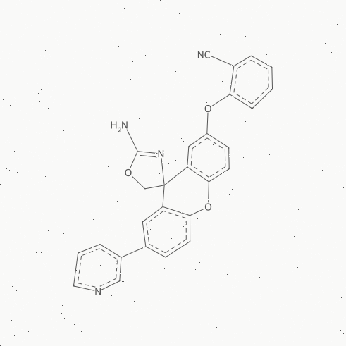 N#Cc1ccccc1Oc1ccc2c(c1)C1(COC(N)=N1)c1cc(-c3cccnc3)ccc1O2